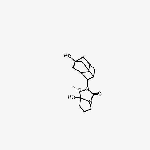 C[C@@H]1N(C2C3CC4CC2CC(O)(C4)C3)C(=O)N2CCCC12O